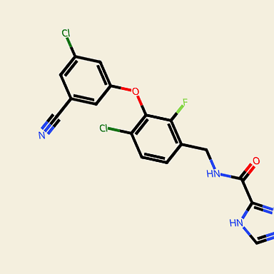 N#Cc1cc(Cl)cc(Oc2c(Cl)ccc(CNC(=O)c3nnc[nH]3)c2F)c1